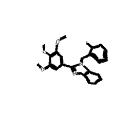 COc1cc(-c2nc3ccccc3n2Cc2ccccc2I)cc(OC)c1OC